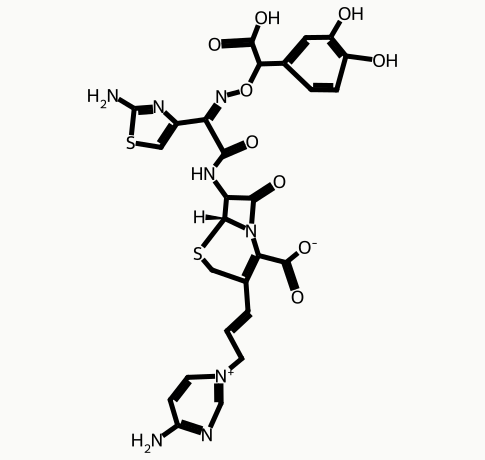 Nc1cc[n+](C/C=C/C2=C(C(=O)[O-])N3C(=O)C(NC(=O)/C(=N\OC(C(=O)O)c4ccc(O)c(O)c4)c4csc(N)n4)[C@H]3SC2)cn1